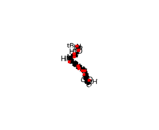 Cc1cc(-c2n[nH]c3ccc(-c4ccc(N5CCC(N6CCN(Cc7ccc8c(c7)CN(C7CCC(=O)NC7=O)C8=O)CC6)CC5)cc4)cc23)ccc1CNC(=O)c1nc(C(C)(C)C)no1